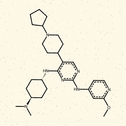 COc1cc(Nc2ncc(C3CCN(C4CCCC4)CC3)c(N[C@H]3CC[C@H](N(C)C)CC3)n2)ccn1